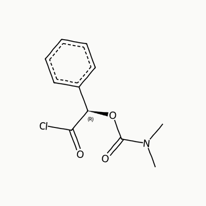 CN(C)C(=O)O[C@@H](C(=O)Cl)c1ccccc1